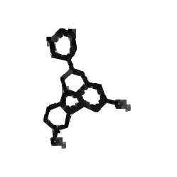 Cc1cc2c3c(c1)c1c(n3CC(c3cncnc3)=C2)CCN(C)C1